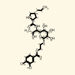 CCC[C@H]1CN[C@H](C(=O)N[C@@H]([C@H]2O[C@H](SCCOC(=O)c3ccc(Cl)c(Cl)c3)[C@H](O)[C@@H](O)[C@H]2O)[C@@H](C)O)C1